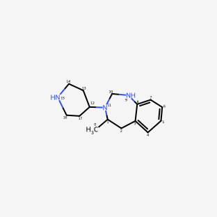 CC1Cc2ccccc2NCN1C1CCNCC1